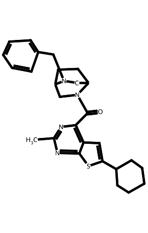 Cc1nc(C(=O)N2CC3CCC2CN3Cc2ccccc2)c2cc(C3CCCCC3)sc2n1